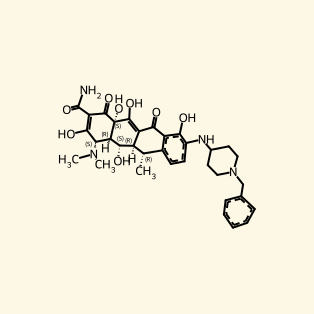 C[C@H]1c2ccc(NC3CCN(Cc4ccccc4)CC3)c(O)c2C(=O)C2=C(O)[C@]3(O)C(=O)C(C(N)=O)=C(O)[C@@H](N(C)C)[C@@H]3[C@@H](O)[C@@H]21